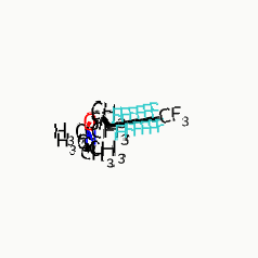 CC(=N[Si](C)(C)C)O[Si](C)(C)CCC(F)(F)C(F)(F)C(F)(F)C(F)(F)C(F)(F)C(F)(F)C(F)(F)F